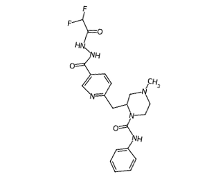 CN1CCN(C(=O)Nc2ccccc2)C(Cc2ccc(C(=O)NNC(=O)C(F)F)cn2)C1